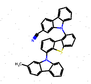 Cc1ccc2c3ccccc3n(-c3cccc4c3sc3cccc(-n5c6ccccc6c6ccc(C#N)cc65)c34)c2c1